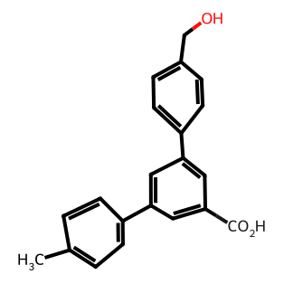 Cc1ccc(-c2cc(C(=O)O)cc(-c3ccc(CO)cc3)c2)cc1